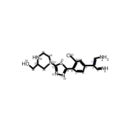 N=C/C(=C\N)c1ccc(-c2nnc(N3CCNC(CO)C3)s2)c(Cl)c1